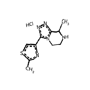 Cc1nc(-c2nnc3n2CCNC3C)cs1.Cl